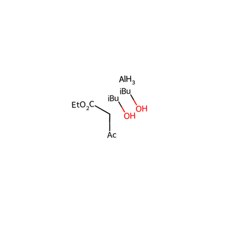 CCC(C)O.CCC(C)O.CCOC(=O)CC(C)=O.[AlH3]